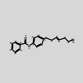 O=C(Oc1ccc(CC/C=C/CCBr)cc1)c1ccccc1